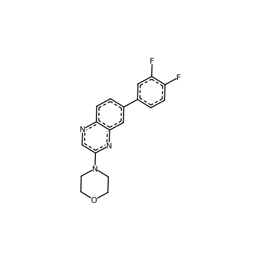 Fc1ccc(-c2ccc3ncc(N4CCOCC4)nc3c2)cc1F